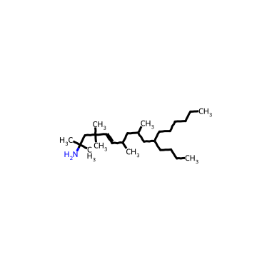 CCCCCCC(CCCC)CC(C)CC(C)/C=C/C(C)(C)CC(C)(C)N